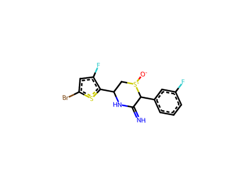 N=C1NC(c2sc(Br)cc2F)C[S+]([O-])C1c1cccc(F)c1